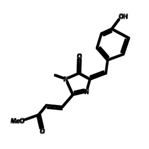 COC(=O)/C=C/C1=NC(=C/c2ccc(O)cc2)/C(=O)N1C